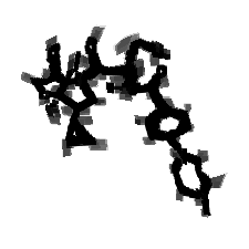 CN1CCN(c2ccc(C(=O)N[C@@H](CC(C)(C)C)C(=O)N3C[C@@H](C4CC4)[C@H]4OCC(=O)[C@H]43)cc2)CC1